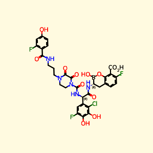 O=C(NCCCN1CCN(C(=O)N[C@@H](C(=O)N[C@H]2Cc3ccc(F)c(C(=O)O)c3OB2O)c2cc(F)c(O)c(O)c2Cl)C(=O)C1=O)c1ccc(O)cc1F